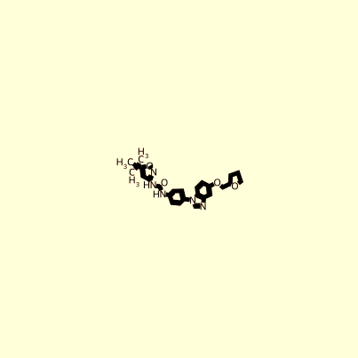 CC(C)(C)c1cc(NC(=O)Nc2ccc(-n3cnc4cc(OCC5CCCO5)ccc43)cc2)no1